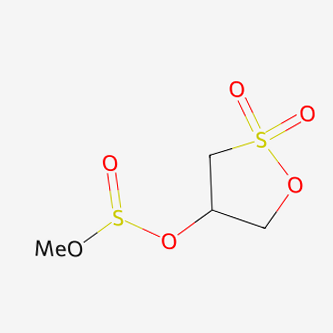 COS(=O)OC1COS(=O)(=O)C1